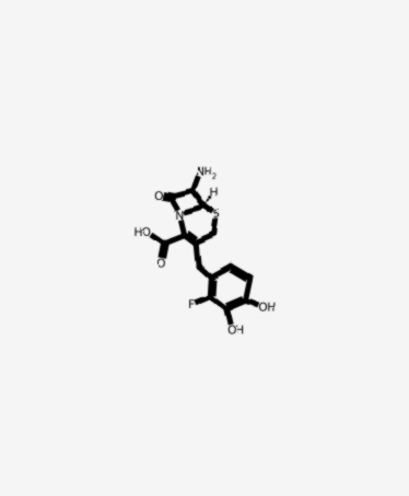 NC1C(=O)N2C(C(=O)O)=C(Cc3ccc(O)c(O)c3F)CS[C@H]12